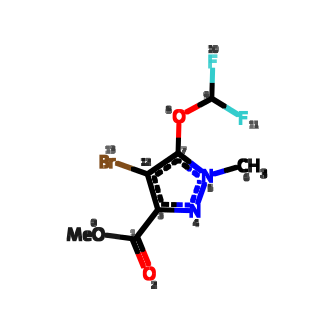 COC(=O)c1nn(C)c(OC(F)F)c1Br